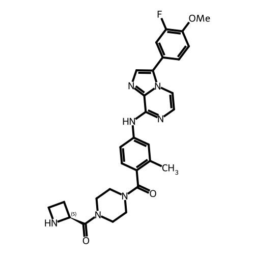 COc1ccc(-c2cnc3c(Nc4ccc(C(=O)N5CCN(C(=O)[C@@H]6CCN6)CC5)c(C)c4)nccn23)cc1F